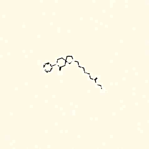 CCOC(=O)CCCCCCN1CCC2(CCN(c3ccncc3)C(=O)C2)C1